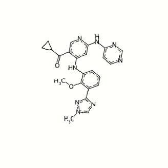 COc1c(Nc2cc(Nc3ccncn3)ncc2C(=O)C2CC2)cccc1-c1ncn(C)n1